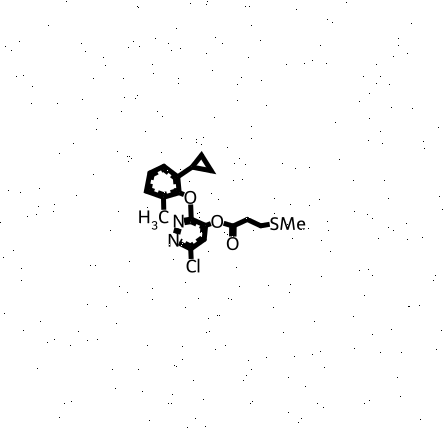 CSCCC(=O)Oc1cc(Cl)nnc1Oc1c(C)cccc1C1CC1